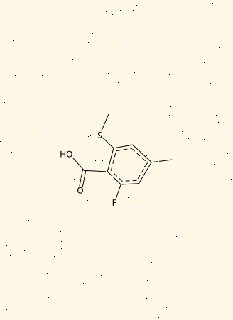 CSc1cc(C)cc(F)c1C(=O)O